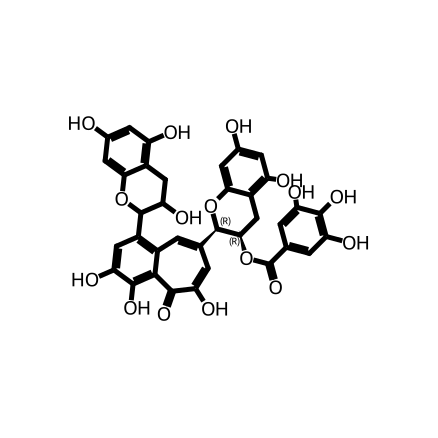 O=C(O[C@@H]1Cc2c(O)cc(O)cc2O[C@@H]1c1cc(O)c(=O)c2c(O)c(O)cc(C3Oc4cc(O)cc(O)c4CC3O)c2c1)c1cc(O)c(O)c(O)c1